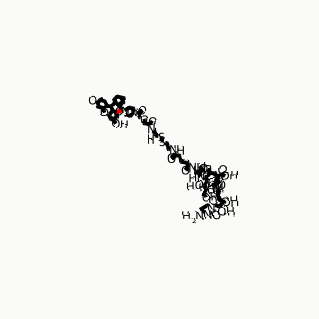 Nc1ccn(C2OC(COP(=O)(O)OC3(C(=O)O)CC(O)C(NC(=O)CNC(=O)CCCC(=O)NCCSSCCNC(=O)COCC(=O)N4CCN(C(=O)c5ccccc5-c5c6ccc(=O)cc-6oc6cc(O)ccc56)CC4)C(C(O)C(O)CO)O3)C(O)C2O)c(=O)n1